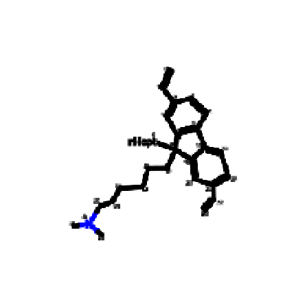 C=Cc1ccc2c(c1)C(CCCCCCC)(CCCCCCN(C)C)c1cc(C=C)ccc1-2